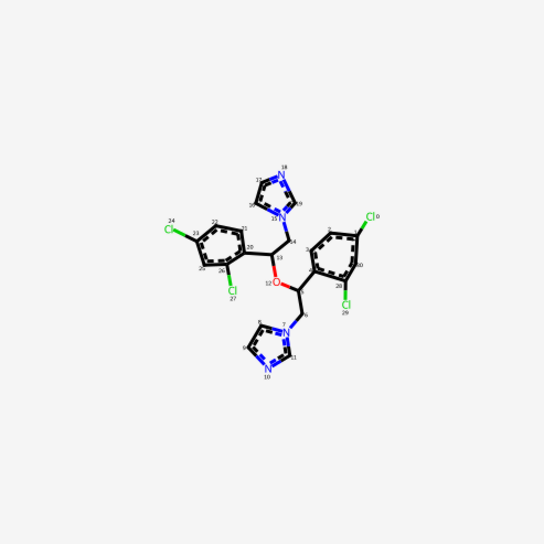 Clc1ccc(C(Cn2ccnc2)OC(Cn2ccnc2)c2ccc(Cl)cc2Cl)c(Cl)c1